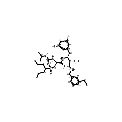 CCCC(CCC)S(=O)(=O)C[C@@H](NC(=O)OC(C)C)C(=O)N[C@@H](Cc1cc(F)cc(F)c1)[C@H](O)CNCc1cccc(CC)c1